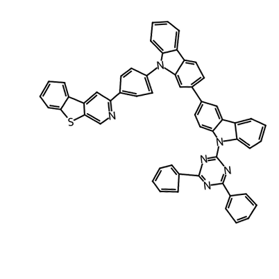 c1ccc(-c2nc(-c3ccccc3)nc(-n3c4ccccc4c4cc(-c5ccc6c7ccccc7n(-c7ccc(-c8cc9c(cn8)sc8ccccc89)cc7)c6c5)ccc43)n2)cc1